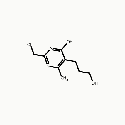 Cc1nc(CCl)nc(O)c1CCCO